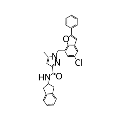 Cc1cc(C(=O)NC2Cc3ccccc3C2)nn1Cc1cc(Cl)cc2cc(-c3ccccc3)oc12